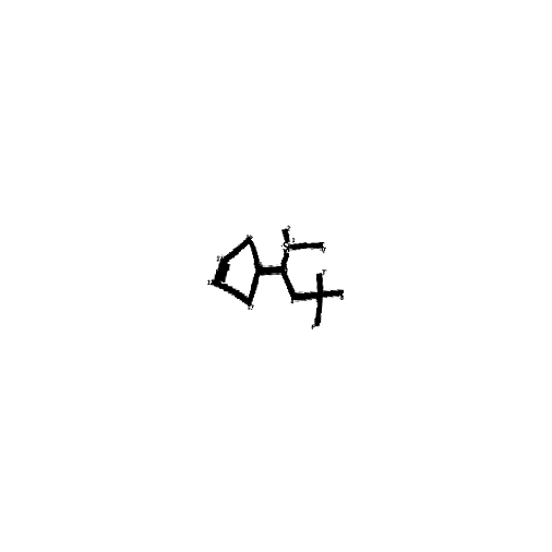 C[Si](C)C(CC(C)(C)C)C1CC=CC1